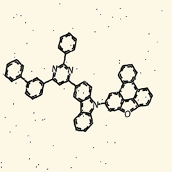 c1ccc(-c2cccc(-c3cc(-c4ccc5c(c4)c4ccccc4n5-c4cc5oc6cccc7c8ccccc8c(c4)c5c67)nc(-c4ccccc4)n3)c2)cc1